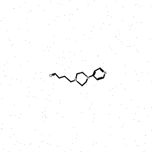 O=CCCCN1CCN(c2ccncc2)CC1